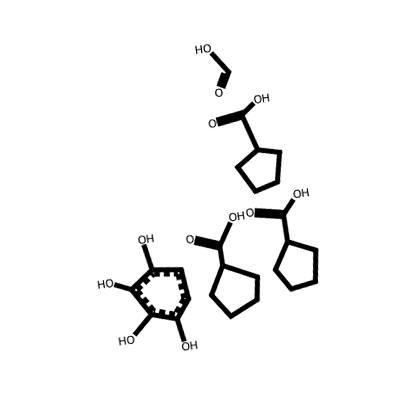 O=C(O)C1CCCC1.O=C(O)C1CCCC1.O=C(O)C1CCCC1.O=CO.Oc1ccc(O)c(O)c1O